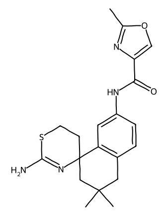 Cc1nc(C(=O)Nc2ccc3c(c2)C2(CCSC(N)=N2)CC(C)(C)C3)co1